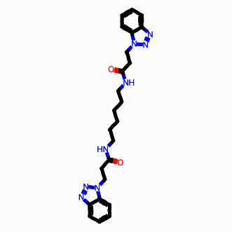 O=C(CCn1nnc2ccccc21)NCCCCCCNC(=O)CCn1nnc2ccccc21